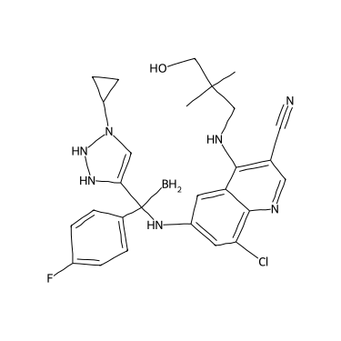 BC(Nc1cc(Cl)c2ncc(C#N)c(NCC(C)(C)CO)c2c1)(C1=CN(C2CC2)NN1)c1ccc(F)cc1